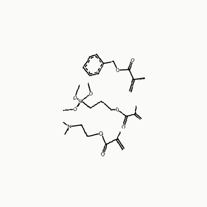 C=C(C)C(=O)OCCC[Si](OC)(OC)OC.C=C(C)C(=O)OCCN(C)C.C=C(C)C(=O)OCc1ccccc1